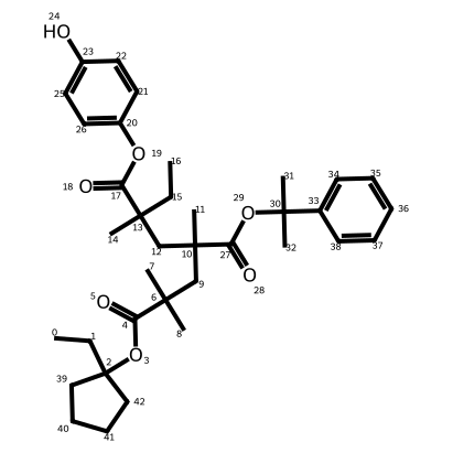 CCC1(OC(=O)C(C)(C)CC(C)(CC(C)(CC)C(=O)Oc2ccc(O)cc2)C(=O)OC(C)(C)c2ccccc2)CCCC1